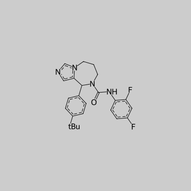 CC(C)(C)c1ccc(C2c3cncn3CCCN2C(=O)Nc2ccc(F)cc2F)cc1